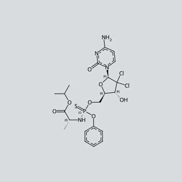 CC(C)OC(=O)[C@@H](C)N[P@](=S)(OC[C@H]1O[C@@H](n2ccc(N)nc2=O)C(Cl)(Cl)[C@@H]1O)Oc1ccccc1